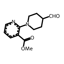 COC(=O)c1cccnc1N1CCC(C=O)CC1